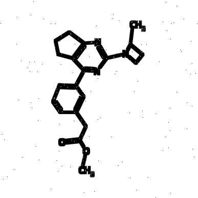 COC(=O)Cc1cccc(-c2nc(N3CCC3C)nc3c2CCC3)c1